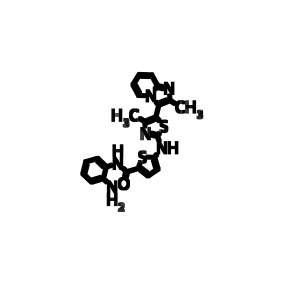 Cc1nc(Nc2ccc(C(=O)Nc3ccccc3N)s2)sc1-c1c(C)nc2ccccn12